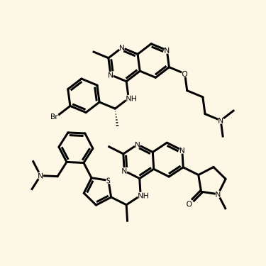 Cc1nc(NC(C)c2ccc(-c3ccccc3CN(C)C)s2)c2cc(C3CCN(C)C3=O)ncc2n1.Cc1nc(N[C@H](C)c2cccc(Br)c2)c2cc(OCCCN(C)C)ncc2n1